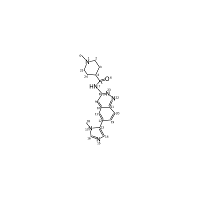 CN1CCC(C(=O)Nc2cc3cc(-c4cncn4C)ccc3nn2)CC1